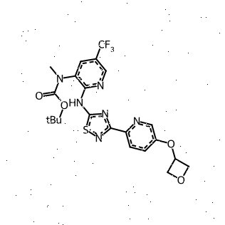 CN(C(=O)OC(C)(C)C)c1cc(C(F)(F)F)cnc1Nc1nc(-c2ccc(OC3COC3)cn2)ns1